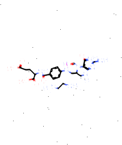 NCCN.Nc1nc2c(c(=O)[nH]1)N(C=O)C(CNc1ccc(C(=O)NC(CCC(=O)O)C(=O)O)cc1)CN2